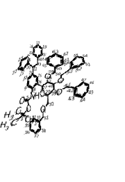 CC(C)(C)OC(=O)Nc1ccc(C(Cc2ccccc2)c2cccs2)cc1[C@@H]1O[C@H](COCc2ccccc2)[C@@H](OCc2ccccc2)[C@H](OCc2ccccc2)[C@H]1OCc1ccccc1